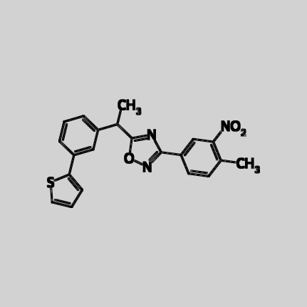 Cc1ccc(-c2noc(C(C)c3cccc(-c4cccs4)c3)n2)cc1[N+](=O)[O-]